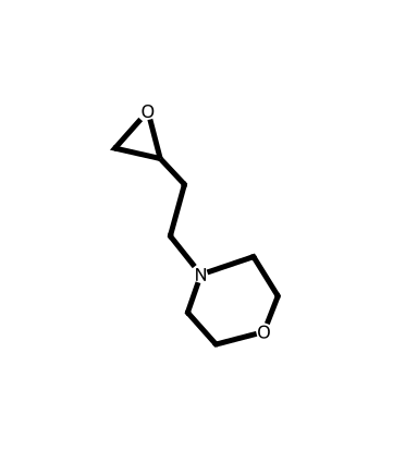 C1CN(CCC2CO2)CCO1